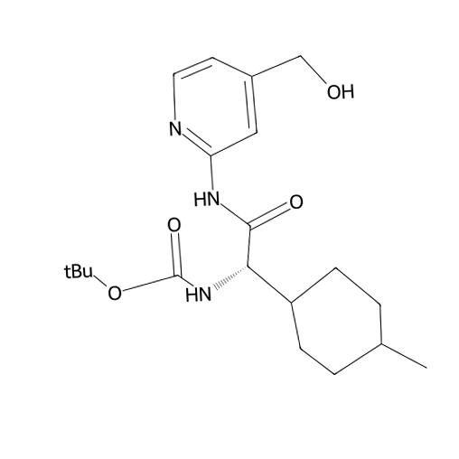 CC1CCC([C@H](NC(=O)OC(C)(C)C)C(=O)Nc2cc(CO)ccn2)CC1